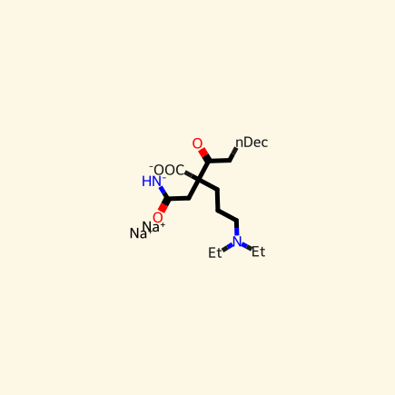 CCCCCCCCCCCC(=O)C(CCCN(CC)CC)(CC([NH-])=O)C(=O)[O-].[Na+].[Na+]